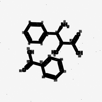 N[C@H](c1ccccc1)C(O)C(=O)O.O=C(O)c1ccccc1